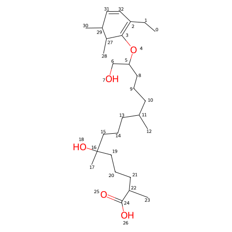 CCC1=C(OC(CO)CCCC(C)CCCC(C)(O)CCCC(C)C(=O)O)C(C)C(C)C=C1